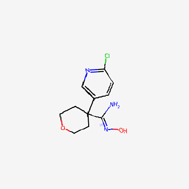 N/C(=N\O)C1(c2ccc(Cl)nc2)CCOCC1